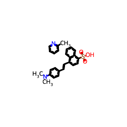 CN(C)c1ccc(C=Cc2ccc(S(=O)(=O)O)c3ccccc23)cc1.Cc1ccccn1